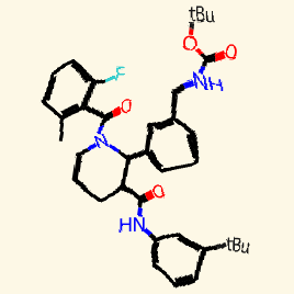 Cc1cccc(F)c1C(=O)N1CCCC(C(=O)Nc2cccc(C(C)(C)C)c2)C1c1cccc(CNC(=O)OC(C)(C)C)c1